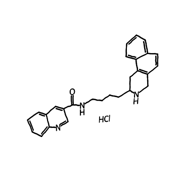 Cl.O=C(NCCCCC1Cc2c(ccc3ccccc23)CN1)c1cnc2ccccc2c1